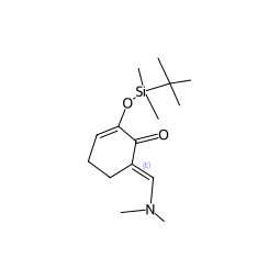 CN(C)/C=C1\CCC=C(O[Si](C)(C)C(C)(C)C)C1=O